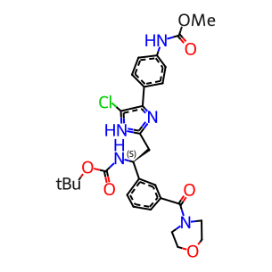 COC(=O)Nc1ccc(-c2nc(C[C@H](NC(=O)OC(C)(C)C)c3cccc(C(=O)N4CCOCC4)c3)[nH]c2Cl)cc1